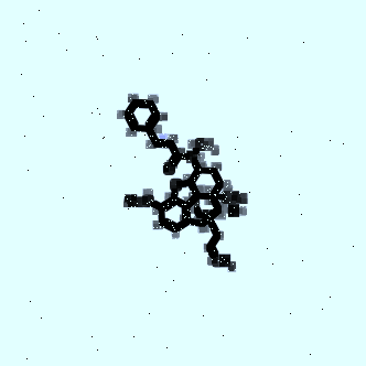 C=CCN1CC[C@]23c4c5ccc(OC)c4OC2C(N(C)C(=O)/C=C/c2ccccc2)CC[C@@]3(OC(C)=O)[C@H]1C5